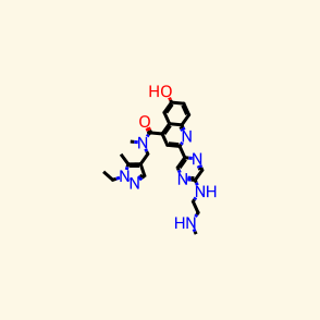 CCn1ncc(CN(C)C(=O)c2cc(-c3cnc(NCCNC)cn3)nc3ccc(O)cc23)c1C